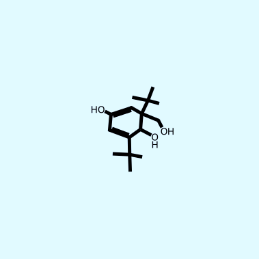 CC(C)(C)C1=CC(O)=CC(CO)(C(C)(C)C)C1O